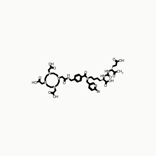 CC(=O)[C@@H](CCC(=O)O)NC(=O)N[C@H](CCCCN(Cc1ccc(Br)nc1)C(=O)c1ccc(CNC(=O)CN2CCN(CC(=O)O)CCN(CC(=O)O)CCN(CC(=O)O)CC2)cc1)C(=O)O